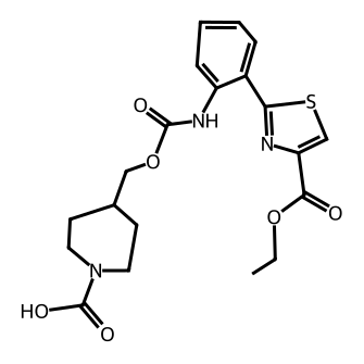 CCOC(=O)c1csc(-c2ccccc2NC(=O)OCC2CCN(C(=O)O)CC2)n1